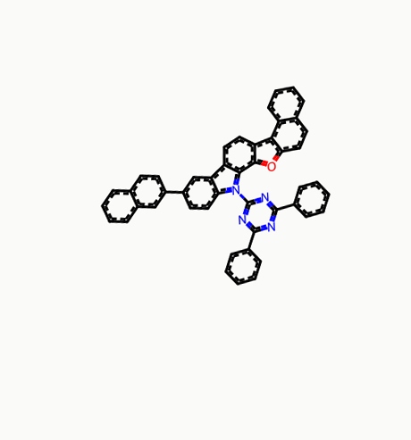 c1ccc(-c2nc(-c3ccccc3)nc(-n3c4ccc(-c5ccc6ccccc6c5)cc4c4ccc5c(oc6ccc7ccccc7c65)c43)n2)cc1